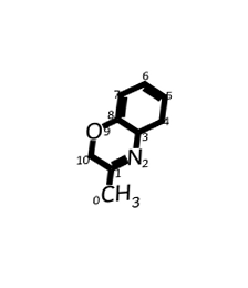 CC1=NC2CC=CC=C2OC1